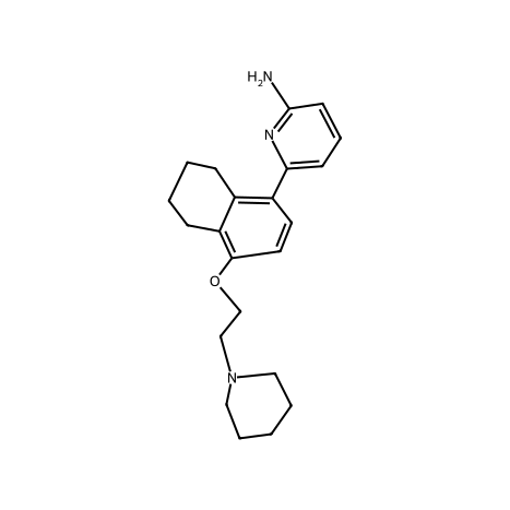 Nc1cccc(-c2ccc(OCCN3CCCCC3)c3c2CCCC3)n1